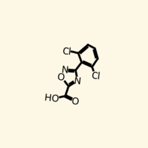 O=C(O)c1nc(-c2c(Cl)cccc2Cl)no1